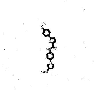 CCSc1ccc(-c2ccc(C(=O)Nc3ccc(N4CCC(NC)C4)cc3)o2)cc1